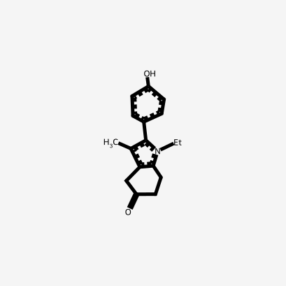 CCn1c2c(c(C)c1-c1ccc(O)cc1)CC(=O)CC2